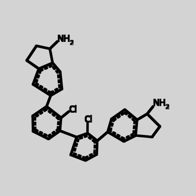 NC1CCc2cc(-c3cccc(-c4cccc(-c5ccc6c(c5)CCC6N)c4Cl)c3Cl)ccc21